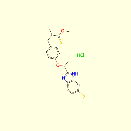 COC(=S)C(C)Cc1ccc(OC(C)c2nc3ccc(SC)cc3[nH]2)cc1.Cl